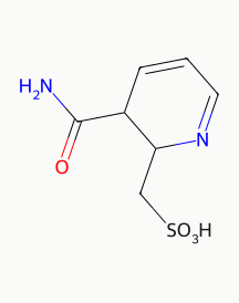 NC(=O)C1C=CC=NC1CS(=O)(=O)O